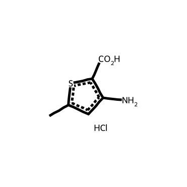 Cc1cc(N)c(C(=O)O)s1.Cl